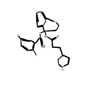 N=C(SC1(NC(=O)CCC2CCNCC2)CCOc2ccccc21)c1cc(F)ccc1F